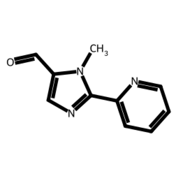 Cn1c(C=O)cnc1-c1ccccn1